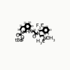 CN(C)CCN(Cc1ccccc1C(F)(F)F)C(=O)CNc1cccc2c1CN(C(=O)OC(C)(C)C)CC2